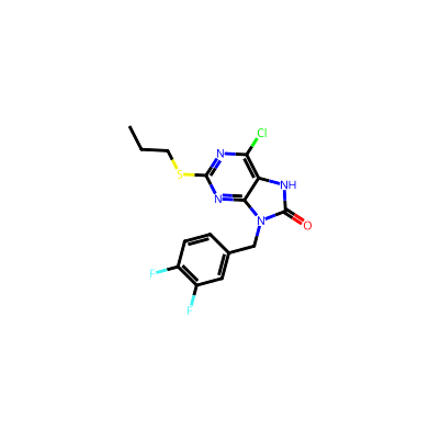 CCCSc1nc(Cl)c2[nH]c(=O)n(Cc3ccc(F)c(F)c3)c2n1